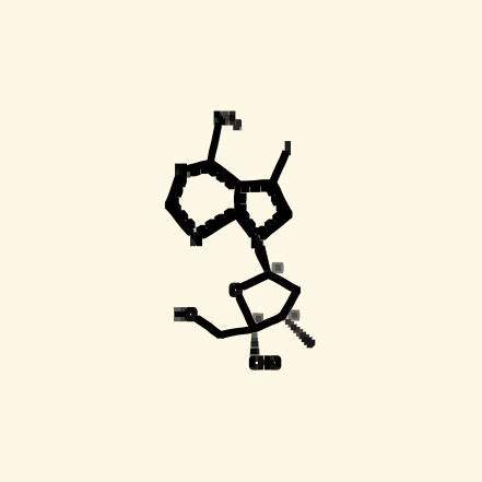 C[C@H]1C[C@H](n2cc(I)c3c(N)ncnc32)O[C@]1(C=O)CO